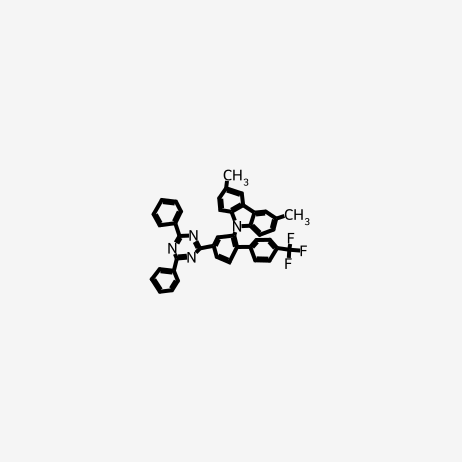 Cc1ccc2c(c1)c1cc(C)ccc1n2-c1cc(-c2nc(-c3ccccc3)nc(-c3ccccc3)n2)ccc1-c1ccc(C(F)(F)F)cc1